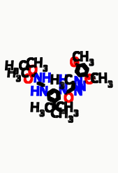 COc1ccc(OC)c(-n2nnc(C(=O)Nc3cc(NCCNC(=O)OC(C)(C)C)cc(C(C)(C)C)c3)c2C)c1